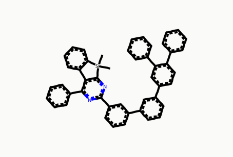 C[Si]1(C)c2ccccc2-c2c(-c3ccccc3)nc(-c3cccc(-c4cccc(-c5ccc(-c6ccccc6)c(-c6ccccc6)c5)c4)c3)nc21